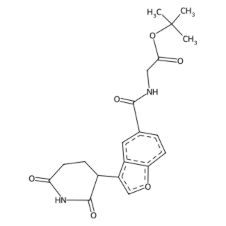 CC(C)(C)OC(=O)CNC(=O)c1ccc2occ(C3CCC(=O)NC3=O)c2c1